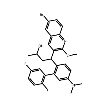 COc1nc2ccc(Br)cc2cc1C(CC(C)O)c1ccc(N(C)C)cc1-c1cc(F)ccc1F